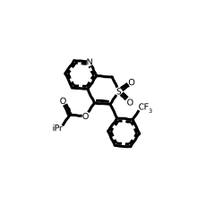 CC(C)C(=O)OC1=C(c2ccccc2C(F)(F)F)S(=O)(=O)Cc2ncccc21